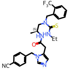 CCNC(=S)N(Cc1ccccc1C(F)(F)F)C[C@H](C)NC(=O)Cc1cncn1Cc1ccc(C#N)cc1